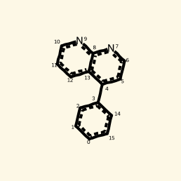 [c]1ccc(-c2ccnc3ncccc23)cc1